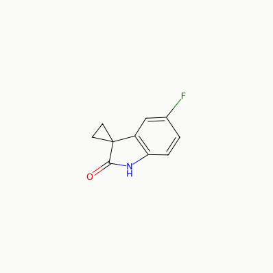 O=C1Nc2ccc(F)cc2C12CC2